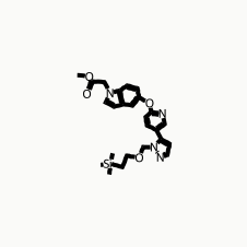 COC(=O)Cn1ccc2cc(Oc3ccc(-c4ccnn4COCC[Si](C)(C)C)cn3)ccc21